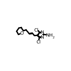 Nc1nc(Cl)c(C/C=C/CC2CCCCO2)c(Cl)n1